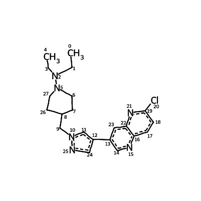 CCN(CC)N1CCC(Cn2cc(-c3cnc4ccc(Cl)nc4c3)cn2)CC1